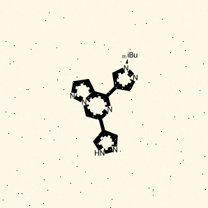 CC[C@@H](C)n1cc(-c2nc(-c3cn[nH]c3)cn3nccc23)cn1